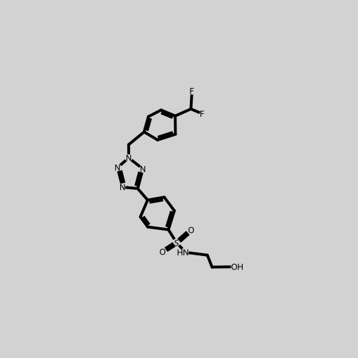 O=S(=O)(NCCO)c1ccc(-c2nnn(Cc3ccc(C(F)F)cc3)n2)cc1